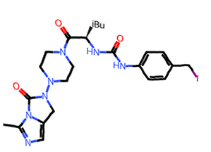 CCC(C)[C@@H](NC(=O)Nc1ccc(CI)cc1)C(=O)N1CCN(N2Cc3cnc(C)n3C2=O)CC1